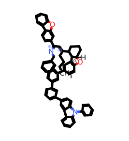 CCCC/C(=C\C(=N/Cc1ccccc1)c1ccc2c(c1)oc1ccccc12)C1CCC[C@@H]2Oc3ccc(-c4cccc(-c5cccc(-c6ccc7c(c6)c6ccccc6n7-c6ccccc6)c5)c4)cc3C12